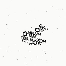 O=S(=O)(O)c1cccc(Nc2nc(Nc3cccc(S(=O)(=O)O)c3)nc(Nc3cccc(S(=O)(=O)O)c3)n2)c1